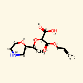 C=CCOC(=O)C(OC(C)C1CNCCO1)C(=O)O